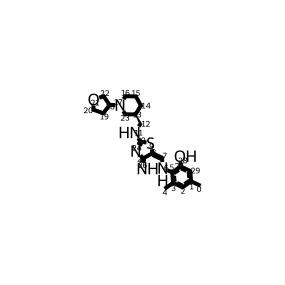 Cc1cc(C)c(N/C=C2/SC(NC[C@@H]3CCCN(C4CCOC4)C3)=NC2=N)c(O)c1